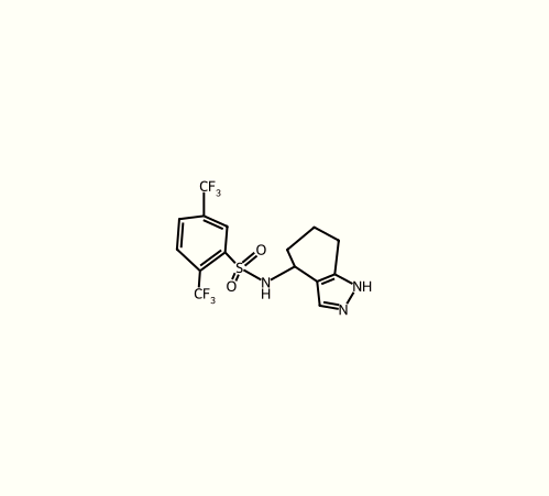 O=S(=O)(NC1CCCc2[nH]ncc21)c1cc(C(F)(F)F)ccc1C(F)(F)F